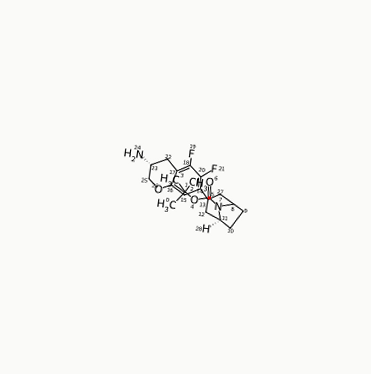 CC(C)(C)OC(=O)N1C2CC[C@H]1CC(c1cc3c(c(F)c1F)C[C@@H](N)CO3)C2